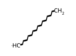 [CH]=C/C=C/C=C/C=C/C=C/C=C/C=C/C=C